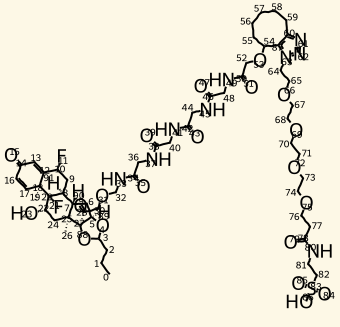 CCCC1O[C@@H]2C[C@H]3[C@@H]4C[C@H](F)C5=CC(=O)C=C[C@]5(C)[C@@]4(F)[C@@H](O)C[C@]3(C)[C@]2(C(=O)COCNC(=O)CNC(=O)CNC(=O)CNC(=O)CNC(=O)COC2CCCCCc3nnn(CCOCCOCCOCCOCCC(=O)NCCS(=O)(=O)O)c32)O1